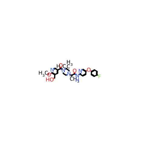 COc1ncc(C(=O)N2CCN([C@@H](C)C(=O)Nc3ccc(Oc4ccc(F)cc4)cn3)CC2(C)C)cc1CO